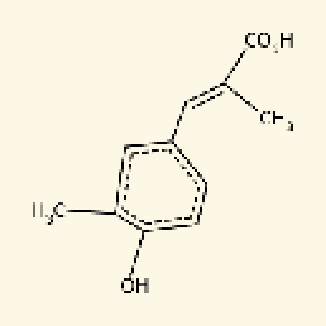 C/C(=C\c1ccc(O)c(C)c1)C(=O)O